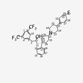 OC(Cc1cc(C(F)(F)F)cc(C(F)(F)F)c1)C[C@]1(c2ccccc2)CC[C@H](N2CCC(c3ccc(F)cc3)CC2)CC1